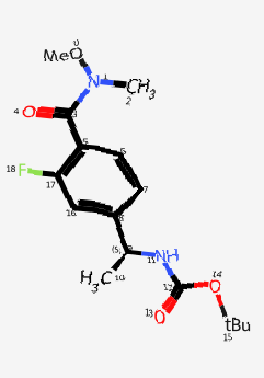 CON(C)C(=O)c1ccc([C@H](C)NC(=O)OC(C)(C)C)cc1F